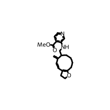 C=C1/C=C\C2=C(CCCCC1CNc1cnccc1C(=O)OC)OCC2